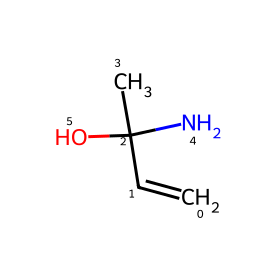 C=CC(C)(N)O